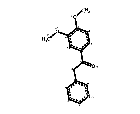 COc1ccc(C(=O)Cc2cccnc2)cc1OC